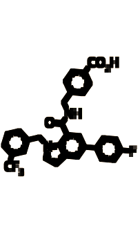 O=C(O)c1ccc(CNC(=O)c2cc(-c3ccc(F)cc3)cc3ccn(Cc4cccc(C(F)(F)F)c4)c23)cc1